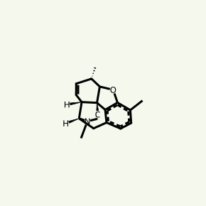 Cc1ccc2c3c1OC1[C@@H](C)C=C[C@H]4[C@@H](C2)N(C)CC[C@]314